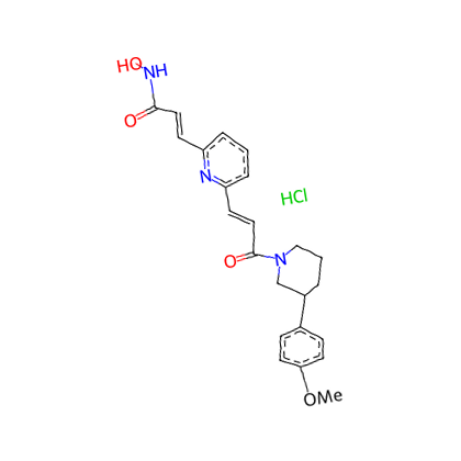 COc1ccc(C2CCCN(C(=O)C=Cc3cccc(C=CC(=O)NO)n3)C2)cc1.Cl